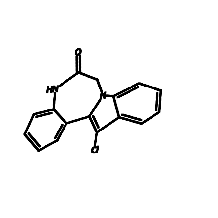 O=C1Cn2c(c(Cl)c3ccccc32)-c2ccccc2N1